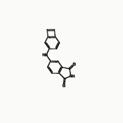 O=C1NC(=O)c2cc(Nc3ccc4c(c3)C=C4)ccc21